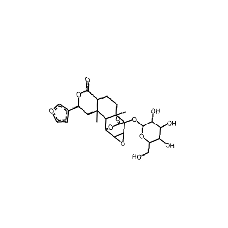 CC12CC(c3ccoc3)OC(=O)C1CCC1(C)C2C2OC(=O)C1(OC1OC(CO)C(O)C(O)C1O)C1OC21